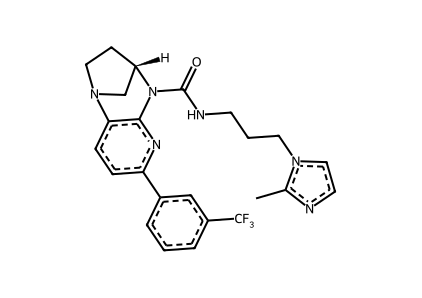 Cc1nccn1CCCNC(=O)N1c2nc(-c3cccc(C(F)(F)F)c3)ccc2N2CC[C@H]1C2